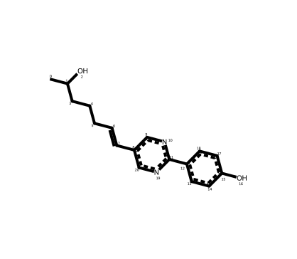 CC(O)CCCC=Cc1cnc(-c2ccc(O)cc2)nc1